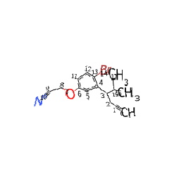 C#CCC(c1cc(OCC#N)ccc1Br)C(C)C